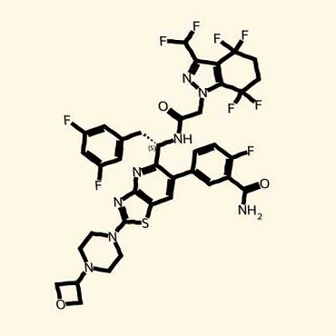 NC(=O)c1cc(-c2cc3sc(N4CCN(C5COC5)CC4)nc3nc2[C@H](Cc2cc(F)cc(F)c2)NC(=O)Cn2nc(C(F)F)c3c2C(F)(F)CCC3(F)F)ccc1F